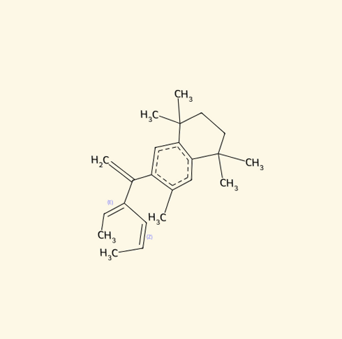 C=C(C(/C=C\C)=C/C)c1cc2c(cc1C)C(C)(C)CCC2(C)C